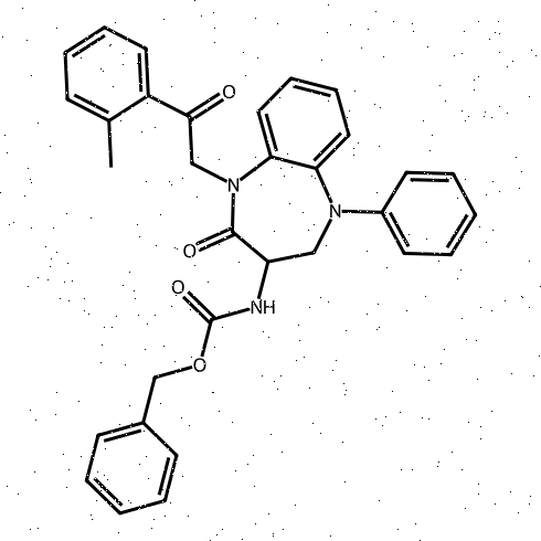 Cc1ccccc1C(=O)CN1C(=O)C(NC(=O)OCc2ccccc2)CN(c2ccccc2)c2ccccc21